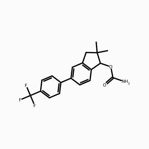 CC1(C)Cc2cc(-c3ccc(C(F)(F)F)cc3)ccc2C1OC(N)=O